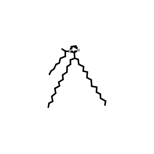 CCCCCCCCCCCCCCC(CCCCCCCCCCCCCC)c1nccn1C(C)CCCCCCC